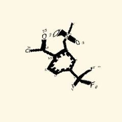 CS(=O)(=O)c1cc(C(F)(F)F)ccc1C(=O)Cl